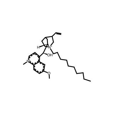 C=CC1C[N+]2(CCCCCCCCCC)CCC1C[C@H]2[C@@H](O)c1cc[n+](C)c2ccc(OC)cc12